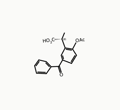 CC(=O)Oc1ccc(C(=O)c2ccccc2)cc1[C@@H](C)C(=O)O